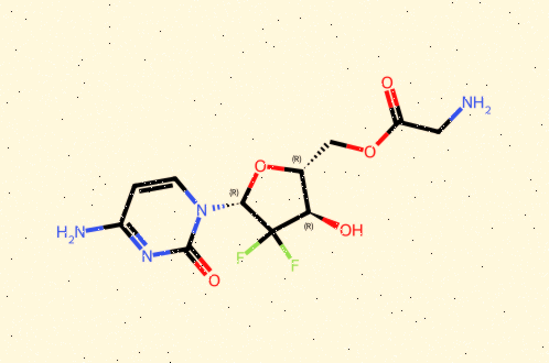 NCC(=O)OC[C@H]1O[C@@H](n2ccc(N)nc2=O)C(F)(F)[C@@H]1O